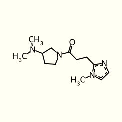 CN(C)C1CCN(C(=O)CCc2nccn2C)C1